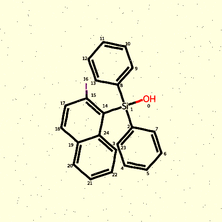 O[Si](c1ccccc1)(c1ccccc1)c1c(I)ccc2ccccc12